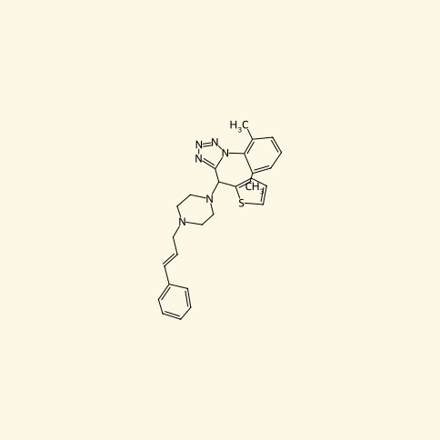 Cc1cccc(C)c1-n1nnnc1C(c1cccs1)N1CCN(CC=Cc2ccccc2)CC1